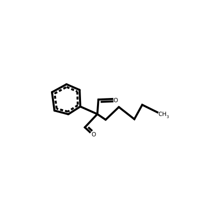 CCCCCC(C=O)(C=O)c1ccccc1